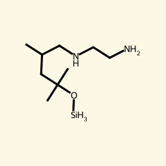 CC(CNCCN)CC(C)(C)O[SiH3]